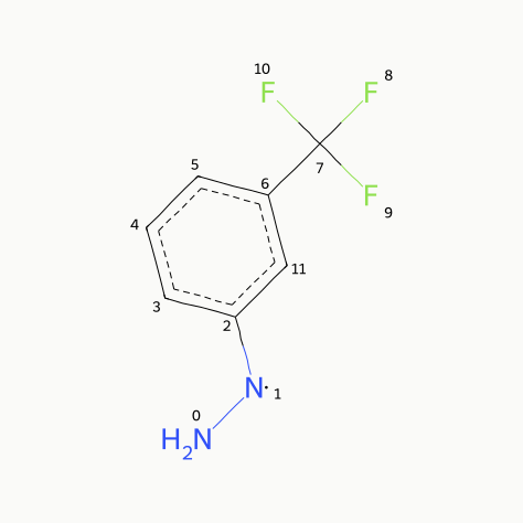 N[N]c1cccc(C(F)(F)F)c1